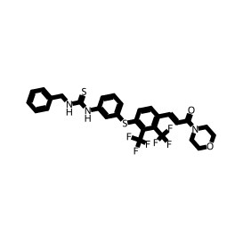 O=C(/C=C/c1ccc(Sc2cccc(NC(=S)NCc3ccccc3)c2)c(C(F)(F)F)c1C(F)(F)F)N1CCOCC1